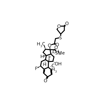 CSC(=O)[C@@]1(OC(=O)CSC2COC(=O)C2)[C@H](C)C[C@H]2[C@@H]3C[C@H](F)C4=CC(=O)C=C[C@]4(C)[C@@]3(F)[C@@H](O)C[C@@]21C